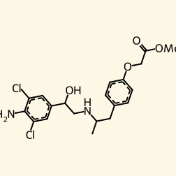 COC(=O)COc1ccc(CC(C)NCC(O)c2cc(Cl)c(N)c(Cl)c2)cc1